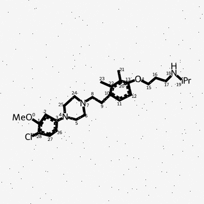 COc1cc(N2CCN(CCc3ccc(OCCCNC(C)C)c(C)c3C)CC2)ccc1Cl